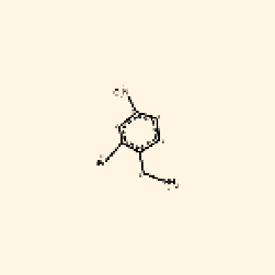 CC(C)c1cc([N+](=O)[O-])ccc1CN